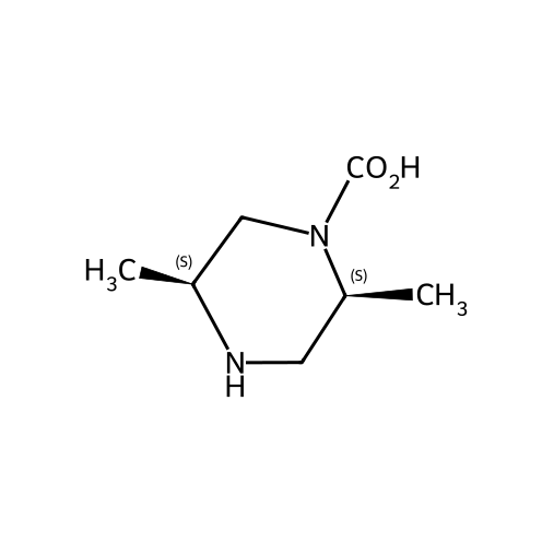 C[C@H]1CN(C(=O)O)[C@@H](C)CN1